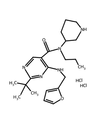 CCCN(C(=O)c1cnc(C(C)(C)C)nc1NCc1ccco1)C1CCCNC1.Cl.Cl